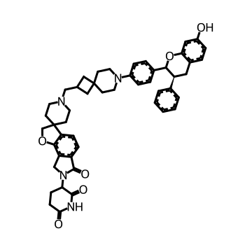 O=C1CCC(N2Cc3c(ccc4c3OCC43CCN(CC4CC5(CCN(c6ccc(C7Oc8cc(O)ccc8C[C@H]7c7ccccc7)cc6)CC5)C4)CC3)C2=O)C(=O)N1